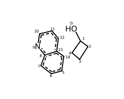 OC1CCC1.c1ccc2ncccc2c1